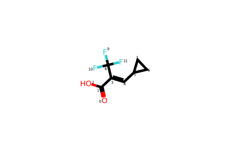 O=C(O)C(=CC1CC1)C(F)(F)F